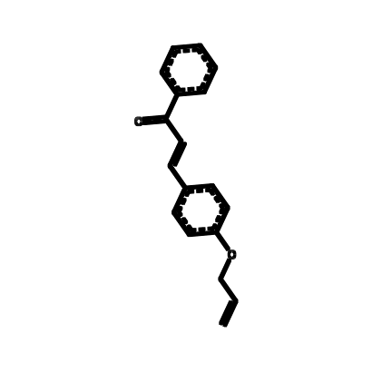 C=CCOc1ccc(/C=C/C(=O)c2ccccc2)cc1